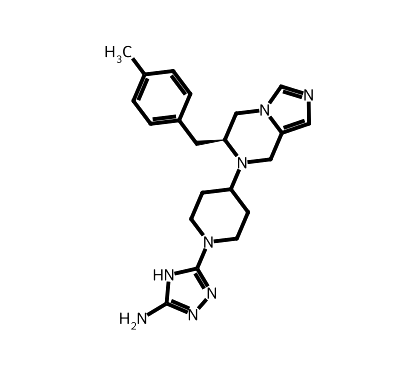 Cc1ccc(C[C@H]2Cn3cncc3CN2C2CCN(c3nnc(N)[nH]3)CC2)cc1